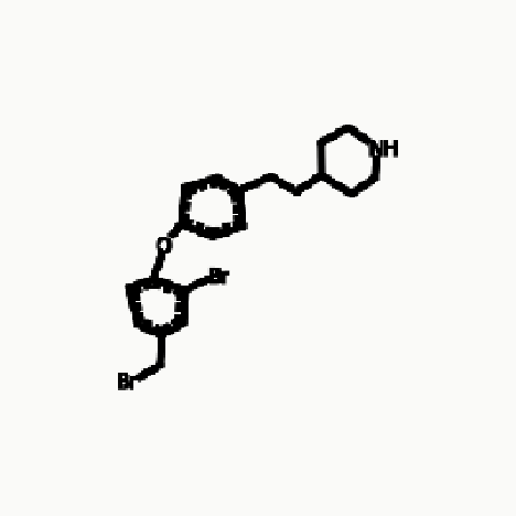 BrCc1ccc(Oc2ccc(CCC3CCNCC3)cc2)c(Br)c1